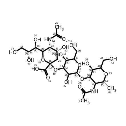 CC(=O)NC1[C@@H](O[C@@H]2OC(CO)[C@H](O)[C@H](O[C@]3(C(=O)O)C[C@@H](O)[C@@H](NC(C)=O)C([C@H](O)[C@H](O)CO)O3)C2O)[C@@H](O)C(CO)O[C@@H]1C